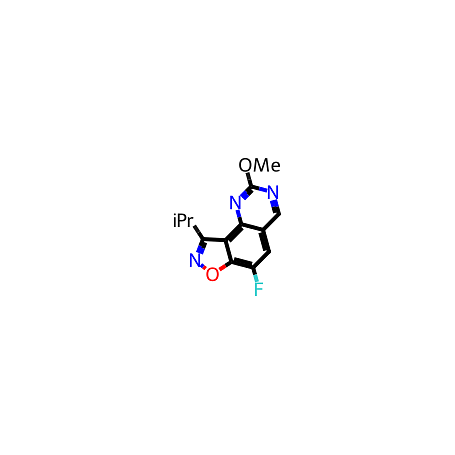 COc1ncc2cc(F)c3onc(C(C)C)c3c2n1